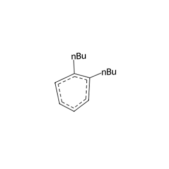 [CH2]CCCc1ccccc1CCC[CH2]